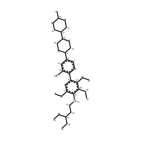 CCc1cc(-c2ccc(C3CCC(C4CCC(C)CC4)CC3)cc2F)c(CC)c(CC)c1OCCC(CC)CC